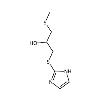 CSCC(O)CSc1ncc[nH]1